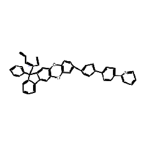 C=C/C=C(\C=C)C1(c2ccccc2)c2ccccc2-c2cc3c(cc21)Oc1ccc(-c2ccc(-c4ccc(-c5ccccn5)cc4)cc2)cc1O3